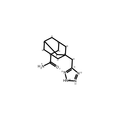 NC(=O)C12[CH]C3CC(CC(Cc4nn[nH]n4)(C3)C1)C2